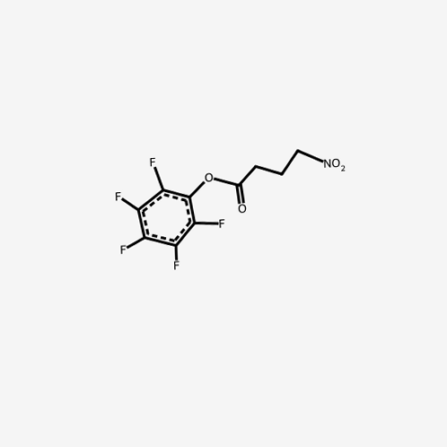 O=C(CCC[N+](=O)[O-])Oc1c(F)c(F)c(F)c(F)c1F